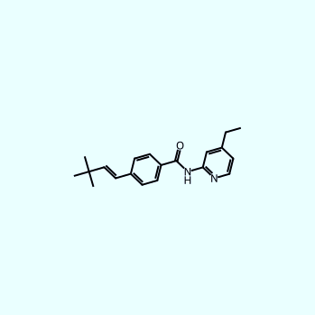 CCc1ccnc(NC(=O)c2ccc(/C=C/C(C)(C)C)cc2)c1